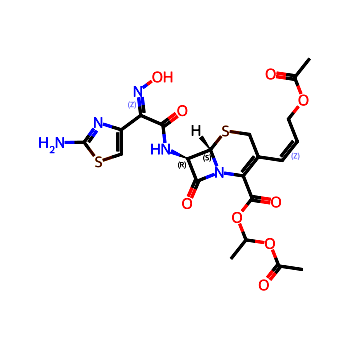 CC(=O)OC/C=C\C1=C(C(=O)OC(C)OC(C)=O)N2C(=O)[C@@H](NC(=O)/C(=N\O)c3csc(N)n3)[C@@H]2SC1